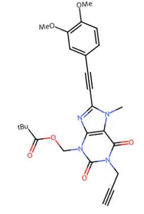 C#CCn1c(=O)c2c(nc(C#Cc3ccc(OC)c(OC)c3)n2C)n(COC(=O)C(C)(C)C)c1=O